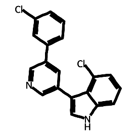 Clc1cccc(-c2cncc(-c3c[nH]c4cccc(Cl)c34)c2)c1